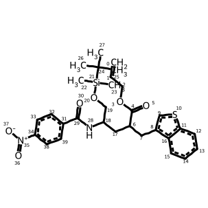 C=CCOC(=O)C(Cc1csc2ccccc12)CC(CO[Si](C)(C)C(C)(C)C)NC(=O)c1ccc([N+](=O)[O-])cc1